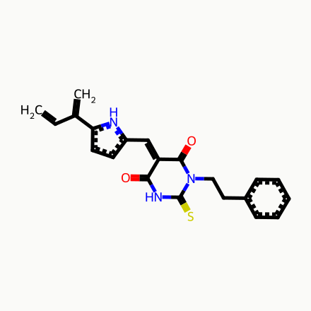 C=CC(=C)c1ccc(/C=C2\C(=O)NC(=S)N(CCc3ccccc3)C2=O)[nH]1